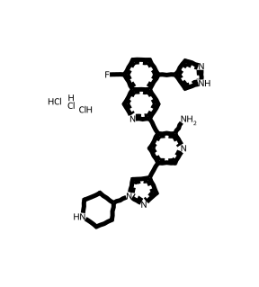 Cl.Cl.Cl.Nc1ncc(-c2cnn(C3CCNCC3)c2)cc1-c1cc2c(-c3cn[nH]c3)ccc(F)c2cn1